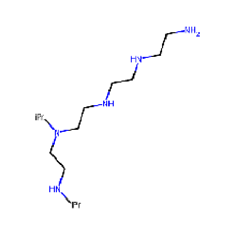 CC(C)NCCN(CCNCCNCCN)C(C)C